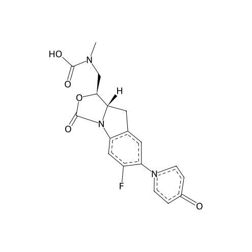 CN(C[C@@H]1OC(=O)N2c3cc(F)c(-n4ccc(=O)cc4)cc3C[C@@H]12)C(=O)O